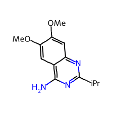 COc1cc2nc(C(C)C)nc(N)c2cc1OC